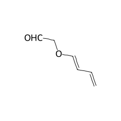 C=CC=COCC=O